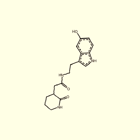 O=C(CC1CCCNC1=O)NCCc1c[nH]c2ccc(O)cc12